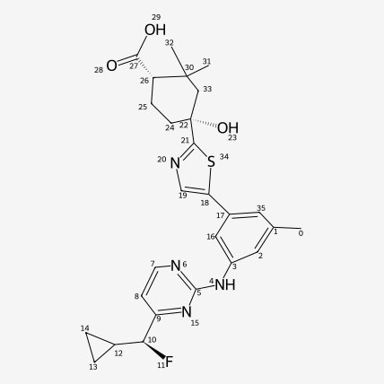 Cc1cc(Nc2nccc([C@@H](F)C3CC3)n2)cc(-c2cnc([C@@]3(O)CC[C@H](C(=O)O)C(C)(C)C3)s2)c1